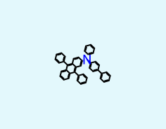 c1ccc(-c2ccc(N(c3ccccc3)c3ccc4c(-c5ccccc5)c5ccccc5c(-c5ccccc5)c4c3)cc2)cc1